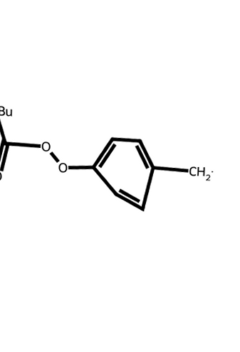 [CH2]c1ccc(OOC(=O)C(C)(C)C)cc1